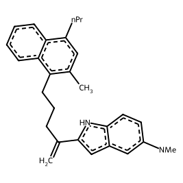 C=C(CCCc1c(C)cc(CCC)c2ccccc12)c1cc2cc(NC)ccc2[nH]1